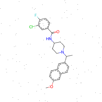 COc1ccc2cc(C(C)N3CCC(NC(=O)c4ccc(F)c(Cl)c4)CC3)ccc2c1